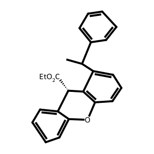 CCOC(=O)[C@H]1c2ccccc2Oc2cccc(C(C)c3ccccc3)c21